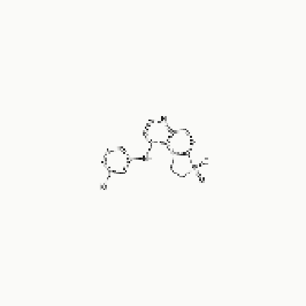 O=S1(=O)CCc2c1ccc1nccc(Nc3cccc(O)c3)c21